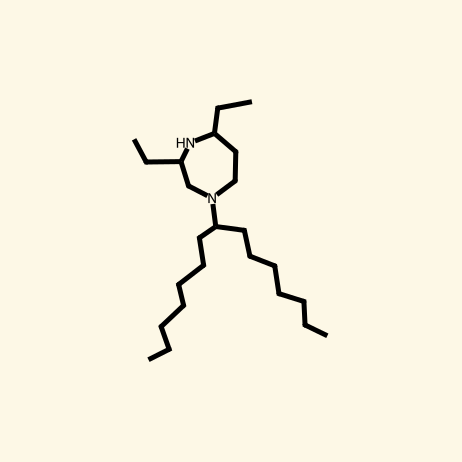 CCCCCCCC(CCCCCCC)N1CCC(CC)NC(CC)C1